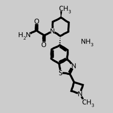 C[C@H]1CC[C@H](c2ccc3sc(C4CN(C)C4)nc3c2)N(C(=O)C(N)=O)C1.N